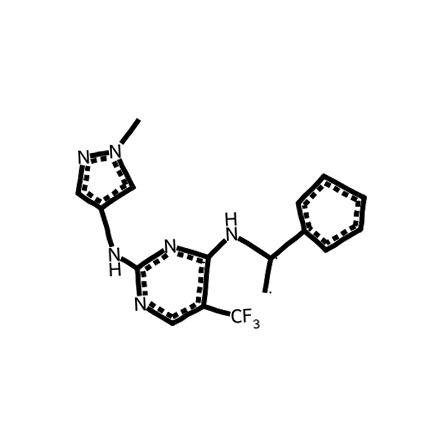 [CH2][C](Nc1nc(Nc2cnn(C)c2)ncc1C(F)(F)F)c1ccccc1